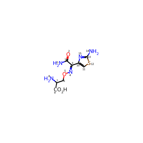 NC(=O)C(=NOCC(N)C(=O)O)c1csc(N)n1